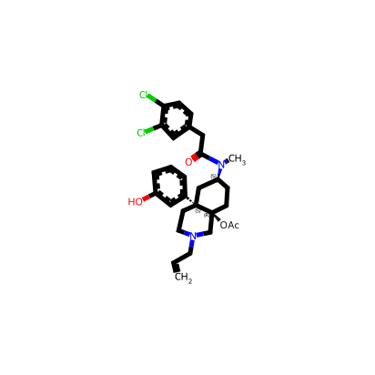 C=CCN1CC[C@@]2(c3cccc(O)c3)C[C@@H](N(C)C(=O)Cc3ccc(Cl)c(Cl)c3)CC[C@]2(OC(C)=O)C1